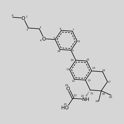 COCCOc1cccc(-c2ccc3c(c2)CCC(C)(C)[C@@H]3NC(=O)O)c1